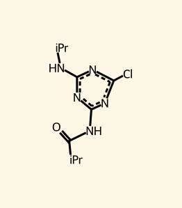 CC(C)Nc1nc(Cl)nc(NC(=O)C(C)C)n1